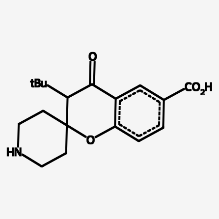 CC(C)(C)C1C(=O)c2cc(C(=O)O)ccc2OC12CCNCC2